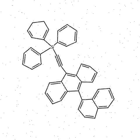 C(#C[Si](C1=CCCC=C1)(c1ccccc1)c1ccccc1)c1c2ccccc2c(-c2cccc3ccccc23)c2ccccc12